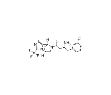 N[C@@H](CC(=O)N1C[C@@H]2C[C@H]1c1nnc(C(F)(F)F)n12)Cc1cccc(Cl)c1